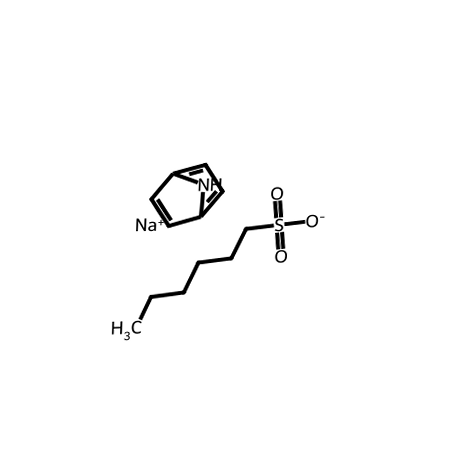 CCCCCCS(=O)(=O)[O-].[Na+].c1cc2ccc1[nH]2